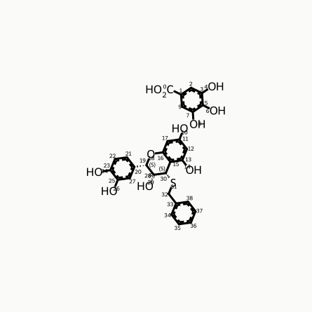 O=C(O)c1cc(O)c(O)c(O)c1.Oc1cc(O)c2c(c1)O[C@@H](c1ccc(O)c(O)c1)[C@@H](O)[C@H]2SCc1ccccc1